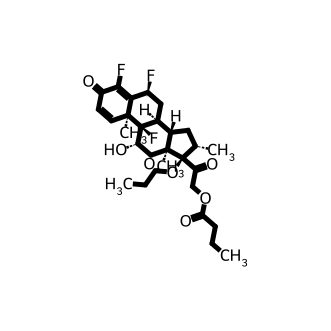 CCCC(=O)OCC(=O)[C@@]1(OC(=O)CC)[C@@H](C)C[C@H]2[C@@H]3C[C@H](F)C4=C(F)C(=O)C=C[C@]4(C)[C@@]3(F)[C@@H](O)C[C@@]21C